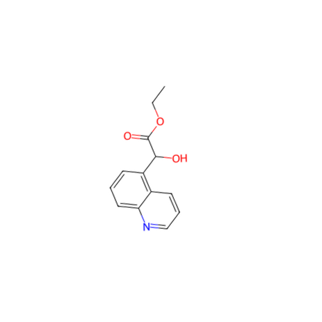 CCOC(=O)C(O)c1cccc2ncccc12